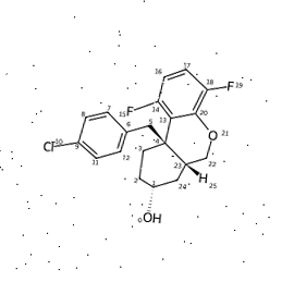 O[C@@H]1CC[C@]2(Cc3ccc(Cl)cc3)c3c(F)ccc(F)c3OC[C@@H]2C1